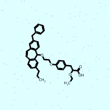 CCCc1ccc2c(c1)C(OCCOc1ccc(CC(OCC)C(=O)O)cc1)c1ccc(Cc3ccccc3)cc1C=C2